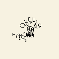 C[C@@H]1COCCN1c1cc(-n2c(C(F)F)nc3ccccc32)nc(N[C@H]2CC[C@H](N(C)C)CC2)n1.Cl.Cl